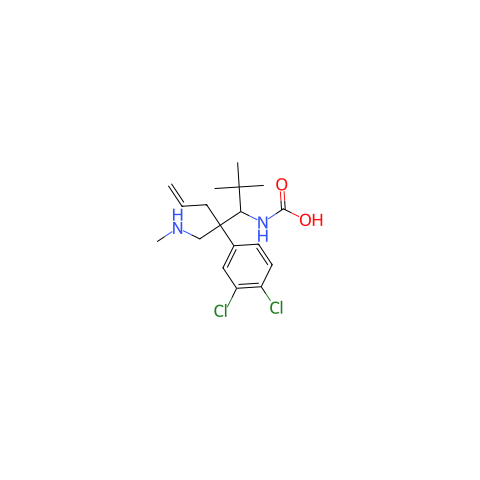 C=CCC(CNC)(c1ccc(Cl)c(Cl)c1)C(NC(=O)O)C(C)(C)C